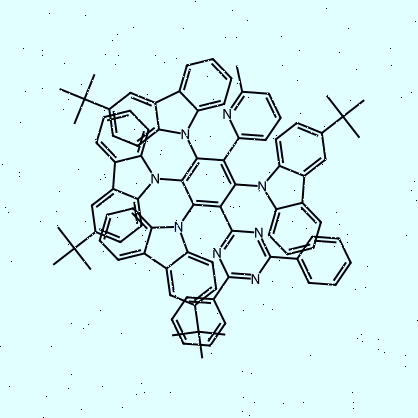 Cc1cccc(-c2c(-n3c4ccccc4c4cc(C(C)(C)C)ccc43)c(-c3nc(-c4ccccc4)nc(-c4ccccc4)n3)c(-n3c4ccccc4c4cc(C(C)(C)C)ccc43)c(-n3c4ccccc4c4cc(C(C)(C)C)ccc43)c2-n2c3ccccc3c3cc(C(C)(C)C)ccc32)n1